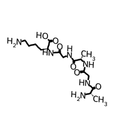 C[C@H](N)C(=O)NCC(=O)N[C@@H](C)C(=O)NCC(=O)N[C@@H](CCCCN)C(=O)O